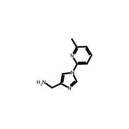 Cc1cccc(-n2cnc(CN)c2)n1